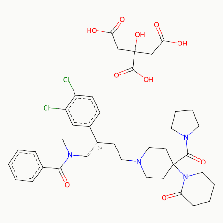 CN(C[C@@H](CCN1CCC(C(=O)N2CCCC2)(N2CCCCC2=O)CC1)c1ccc(Cl)c(Cl)c1)C(=O)c1ccccc1.O=C(O)CC(O)(CC(=O)O)C(=O)O